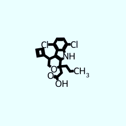 CCCC1(CC(=O)O)OCC(C2=CC=C2)c2c1[nH]c1c(Cl)ccc(Cl)c21